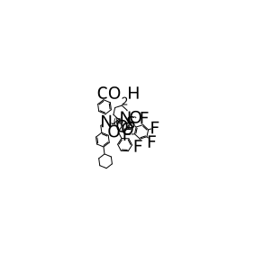 O=C(O)c1ccc(N(Cc2ccc(C3CCCCC3)cc2)C(=O)[C@]2(OCc3ccccc3)CCCCN2S(=O)(=O)c2c(F)c(F)c(F)c(F)c2F)cc1